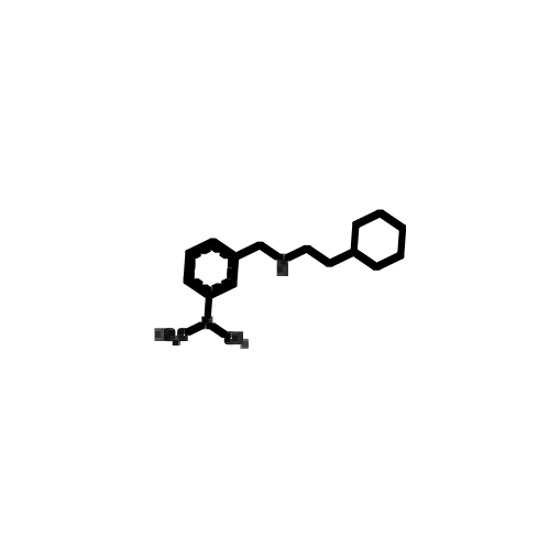 CN(C(=O)O)c1cccc(CNCCC2CCCCC2)c1